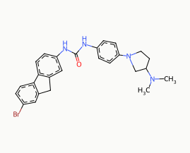 CN(C)C1CCN(c2ccc(NC(=O)Nc3ccc4c(c3)Cc3cc(Br)ccc3-4)cc2)C1